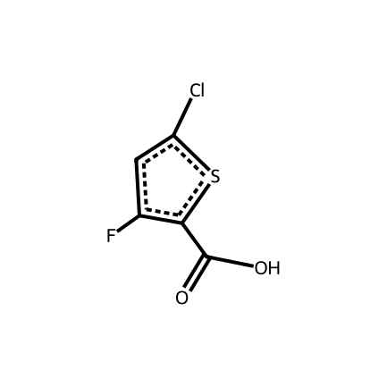 O=C(O)c1sc(Cl)cc1F